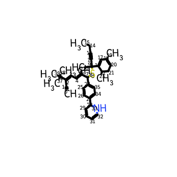 C#C/C(=C\C=C(/C)C(SC(C#C)(C#CCC)C1=CC(C)=CCC1C)c1ccc(C2C=CC=CN2)cc1)C(C)(C)C